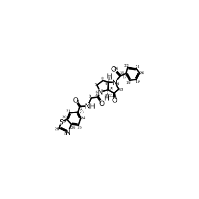 O=C(NCC(=O)N1CC[C@@H]2[C@H]1C(=O)CN2C(=O)c1ccccc1)c1ccc2ncsc2c1